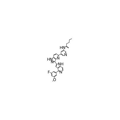 C=C(CCCC)Nc1cncc(-c2ccc3[nH]nc(-c4cc5c(-c6cc(F)cc(OC)c6)nccc5[nH]4)c3n2)c1